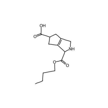 CCCCOC(=O)C1NCC2=C1CC(C(=O)O)C2